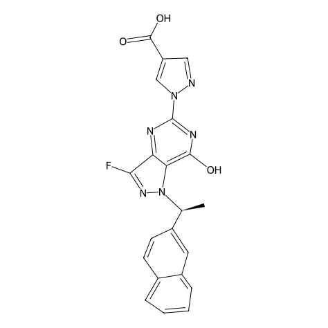 C[C@@H](c1ccc2ccccc2c1)n1nc(F)c2nc(-n3cc(C(=O)O)cn3)nc(O)c21